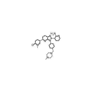 CN1CCN(Cc2ccc(-n3c(-c4cccnc4N)nc4ccc(-c5ccc(=O)n(C)c5)nc43)cc2)CC1